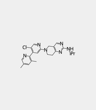 Cc1cnc(-c2cc(N3CCc4nc(NC(C)C)ncc4C3)ncc2Cl)c(C)c1